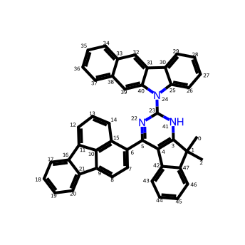 CC1(C)C2=C(C(c3ccc4c5c(cccc35)-c3ccccc3-4)=NC(n3c4ccccc4c4cc5ccccc5cc43)N2)c2ccccc21